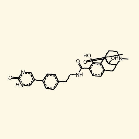 CN1CCC23CC(=O)CCC2(O)C1Cc1ccc(C(=O)NCCc2ccc(-c4cnc(=O)[nH]c4)cc2)c(O)c13